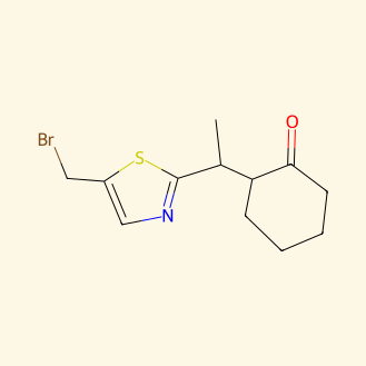 CC(c1ncc(CBr)s1)C1CCCCC1=O